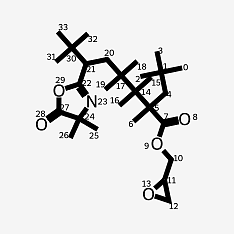 CC(C)(C)CC(C)(C(=O)OCC1CO1)C(C)(C)C(C)(C)CC(C1=NC(C)(C)C(=O)O1)C(C)(C)C